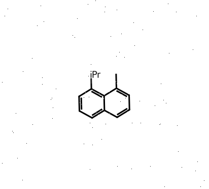 Cc1cccc2cccc(C(C)C)c12